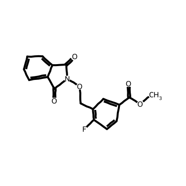 COC(=O)c1ccc(F)c(CON2C(=O)c3ccccc3C2=O)c1